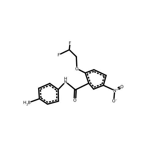 Bc1ccc(NC(=O)c2cc([N+](=O)[O-])ccc2OCC(F)F)cc1